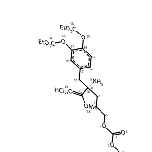 CCCCCOC(=O)OCCC[C@](N)(Cc1ccc(OC(=O)OCC)c(OC(=O)OCC)c1)C(=O)OC.Cl